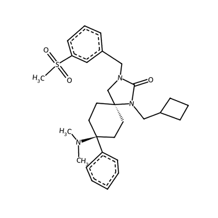 CN(C)[C@]1(c2ccccc2)CC[C@]2(CC1)CN(Cc1cccc(S(C)(=O)=O)c1)C(=O)N2CC1CCC1